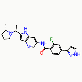 CC(c1cc2ncc(NC(=O)c3ccc(-c4cc[nH]n4)cc3F)cc2[nH]1)N1CCC[C@@H]1C